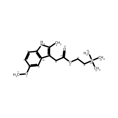 COc1ccc2[nH]c(C)c(CC(=O)OCCS(C)(C)C)c2c1